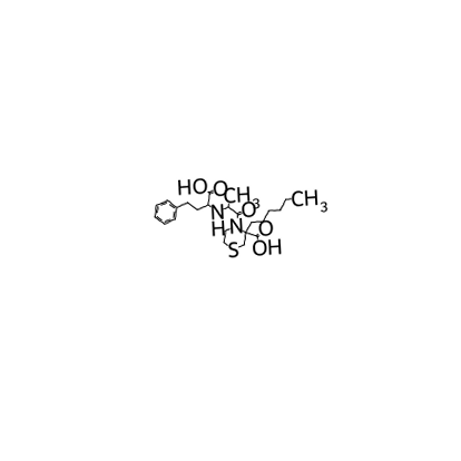 CCCCCCC1(C(=O)O)CSCCN1C(=O)C(C)NC(CCc1ccccc1)C(=O)O